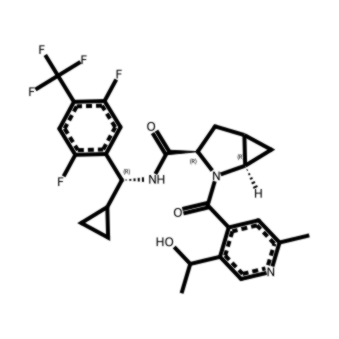 Cc1cc(C(=O)N2[C@@H](C(=O)N[C@@H](c3cc(F)c(C(F)(F)F)cc3F)C3CC3)CC3C[C@H]32)c(C(C)O)cn1